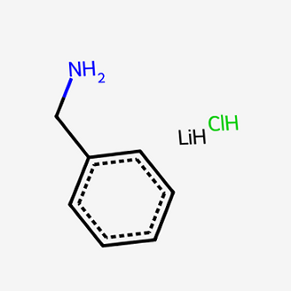 Cl.NCc1ccccc1.[LiH]